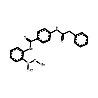 CC(C)(C)ON(C=O)c1ccccc1NC(=O)c1ccc(NC(=O)Cc2ccccc2)cc1